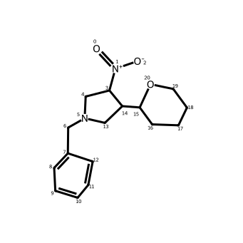 O=[N+]([O-])C1CN(Cc2ccccc2)CC1C1CCCCO1